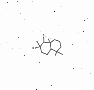 CCC1C(C)(O)CCC2C(C)(C)CCCC21C